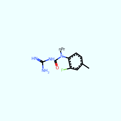 CCCN(C(=O)NC(=N)N)c1ccc(C)cc1F